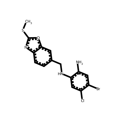 CSc1nc2ccc(CNc3cc(Cl)c(Br)cc3N)cc2o1